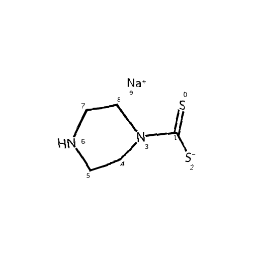 S=C([S-])N1CCNCC1.[Na+]